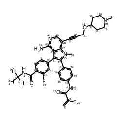 [2H]C([2H])([2H])NC(=O)c1ccc(-c2c(-c3ccc(NC(=O)C(=C)F)cc3)n(C)c3c(C#CCOC4CCN(C)CC4)cnc(N)c23)cc1F